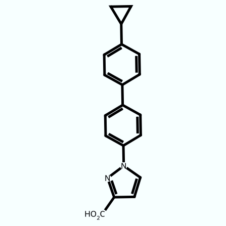 O=C(O)c1ccn(-c2ccc(-c3ccc(C4CC4)cc3)cc2)n1